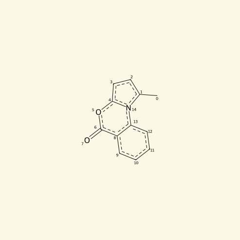 Cc1ccc2oc(=O)c3ccccc3n12